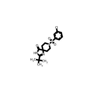 CC(C)(C)C1=NC2(CCN(S(=O)(=O)c3cccc(Cl)c3)CC2)C(=O)N1